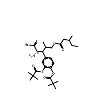 CCC(C)CC(=O)OCC(C)C(c1ccc(OC(=O)C(C)(C)C)c(OC(=O)C(C)(C)C)c1)[C@H](N)C(=O)O